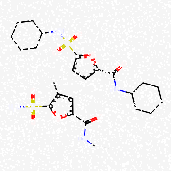 CCCCCCNC(=O)c1cc(CCCCCC)c(S(N)(=O)=O)o1.O=C(NC1CCCCC1)c1ccc(S(=O)(=O)NC2CCCCC2)o1